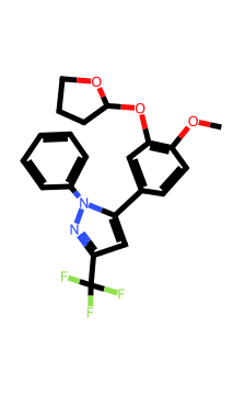 COc1ccc(-c2cc(C(F)(F)F)nn2-c2ccccc2)cc1OC1CCCO1